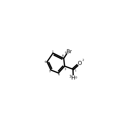 [3H]C(=O)c1ccccc1Br